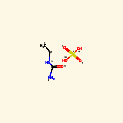 CCNC(N)=O.O=S(=O)(O)O